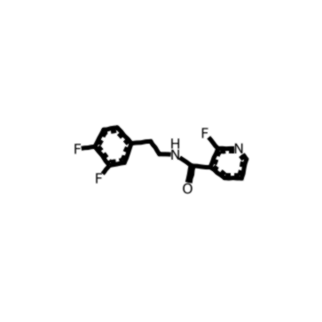 O=C(NCCc1ccc(F)c(F)c1)c1cccnc1F